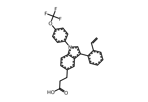 C=Cc1ccccc1-c1cn(-c2ccc(OC(F)(F)F)cc2)c2ccc(CCC(=O)O)cc12